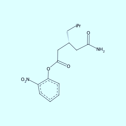 CC(C)C[C@H](CC(N)=O)CC(=O)Oc1ccccc1[N+](=O)[O-]